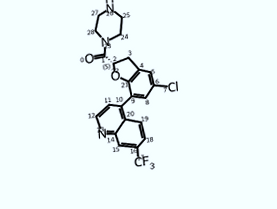 O=C([C@@H]1Cc2cc(Cl)cc(-c3ccnc4cc(C(F)(F)F)ccc34)c2O1)N1CCNCC1